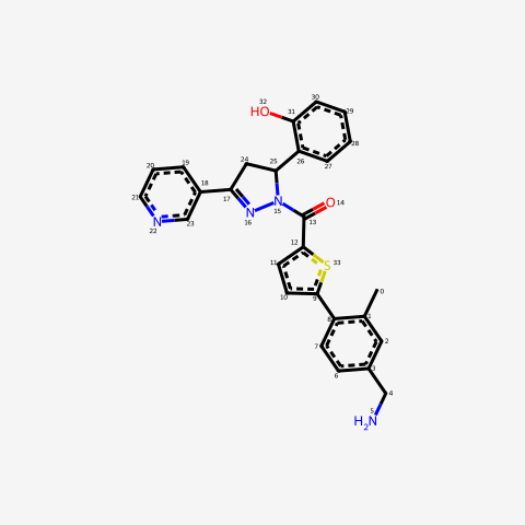 Cc1cc(CN)ccc1-c1ccc(C(=O)N2N=C(c3cccnc3)CC2c2ccccc2O)s1